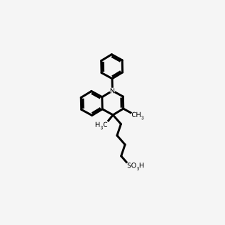 CC1=CN(c2ccccc2)c2ccccc2C1(C)CCCCS(=O)(=O)O